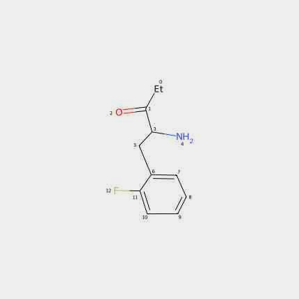 CCC(=O)C(N)Cc1ccccc1F